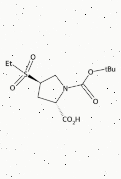 CCS(=O)(=O)[C@@H]1C[C@@H](C(=O)O)N(C(=O)OC(C)(C)C)C1